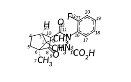 CC1(C)[C@H]2CC[C@]1(C)C(=O)C2C(=O)N(NC(=O)O)c1ccccc1F